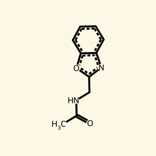 CC(=O)NCc1nc2ccccc2o1